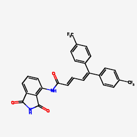 O=C(C=CC=C(c1ccc(C(F)(F)F)cc1)c1ccc(C(F)(F)F)cc1)Nc1cccc2c1C(=O)NC2=O